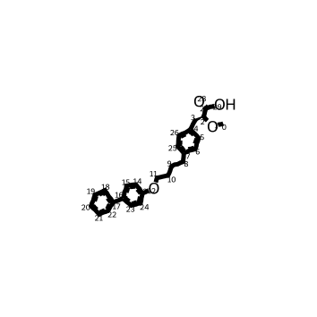 CO[C@@H](Cc1ccc(CCCCOc2ccc(-c3ccccc3)cc2)cc1)C(=O)O